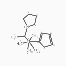 C[CH](N1CCCC1)[Ti]([CH3])([CH3])([CH3])([CH3])[C]1=CC=CC1